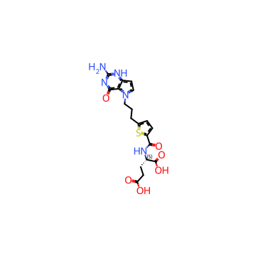 Nc1nc(=O)c2c(ccn2CCCc2ccc(C(=O)N[C@@H](CCC(=O)O)C(=O)O)s2)[nH]1